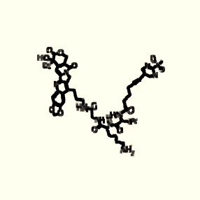 CC[C@@]1(O)C(=O)OCc2c1cc1n(c2=O)Cc2c-1nc1cc3c(cc1c2CCCNC(=O)CNC(=O)C(CCCCN)NC(=O)C(NC(=O)CCCC#Cc1cnc(S(C)(=O)=O)nc1)C(C)C)OCO3